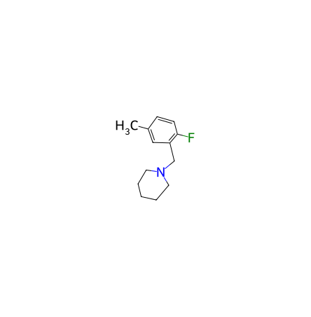 Cc1ccc(F)c(CN2CCCCC2)c1